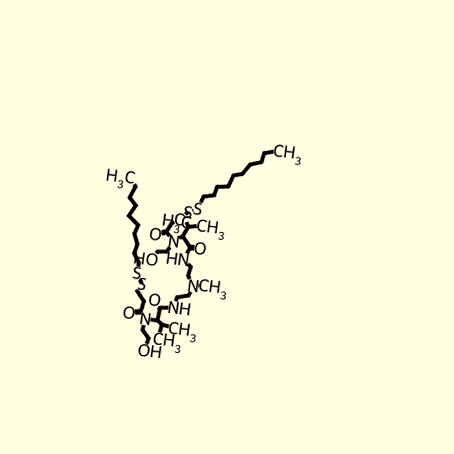 CCCCCCCCCCSSCCC(=O)N(CCO)C(C(=O)NCCN(C)CCNC(=O)C(C(C)C)N(CCO)C(=O)CCSSCCCCCCCCCC)C(C)C